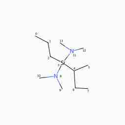 CCC[Si](C(C)CC)(N(C)C)N(C)C